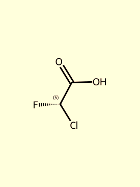 O=C(O)[C@@H](F)Cl